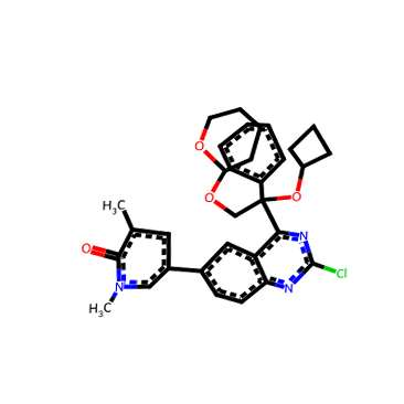 Cc1cc(-c2ccc3nc(Cl)nc(C(COC4CCCCO4)(OC4CCC4)c4ccccc4)c3c2)cn(C)c1=O